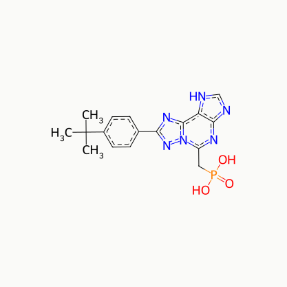 CC(C)(C)c1ccc(-c2nc3c4[nH]cnc4nc(CP(=O)(O)O)n3n2)cc1